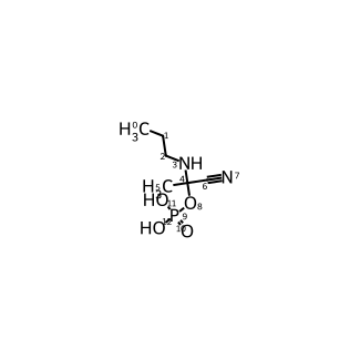 CCCNC(C)(C#N)OP(=O)(O)O